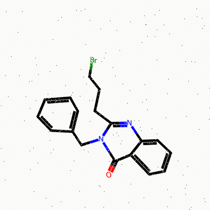 O=c1c2ccccc2nc(CCCBr)n1Cc1ccccc1